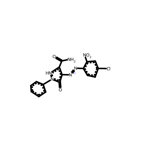 NC(=O)c1[nH]n(-c2ccccc2)c(=O)c1/N=N/c1ccc(Cl)cc1[N+](=O)[O-]